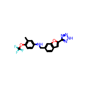 Cc1cc(NCc2ccc3cc(-c4nn[nH]n4)oc3c2)ccc1OC(F)(F)F